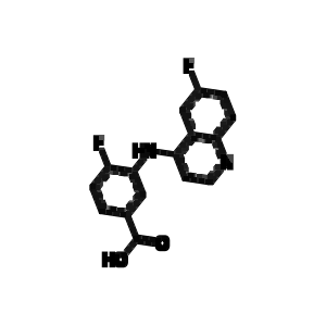 O=C(O)c1ccc(F)c(Nc2ccnc3ccc(F)cc23)c1